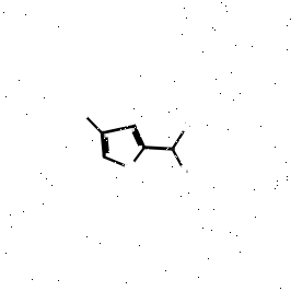 CCCC(N)c1cc(C)cs1